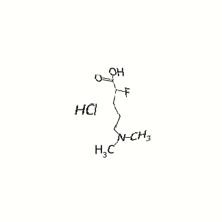 CN(C)CCCC(F)C(=O)O.Cl